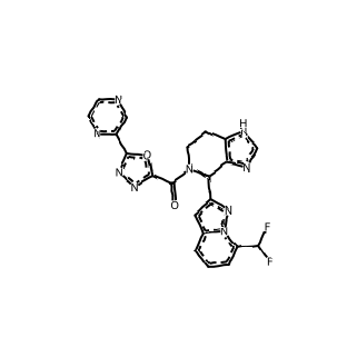 O=C(c1nnc(-c2cnccn2)o1)N1CCc2[nH]cnc2C1c1cc2cccc(C(F)F)n2n1